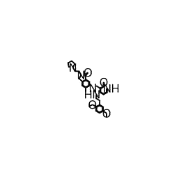 COc1ccc(OC)c(C[C@H](C)Nc2cc[nH]c(=O)c2/C=N/c2cc3c(cc2C)CN(CCN2CCCC2)C3=O)c1